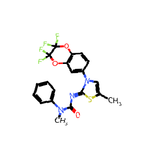 Cc1cn(-c2ccc3c(c2)OC(F)(F)C(F)(F)O3)/c(=N/C(=O)N(C)c2ccccc2)s1